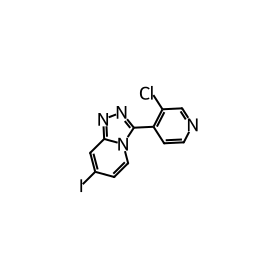 Clc1cnccc1-c1nnc2cc(I)ccn12